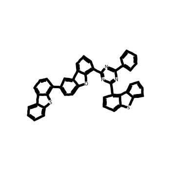 c1ccc(-c2nc(-c3cccc4c3oc3ccc(-c5cccc6c5sc5ccccc56)cc34)nc(-c3cccc4sc5ccccc5c34)n2)cc1